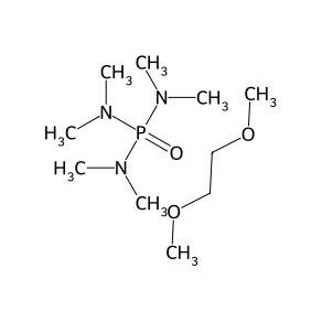 CN(C)P(=O)(N(C)C)N(C)C.COCCOC